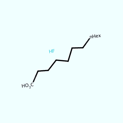 CCCCCCCCCCCCC(=O)O.F